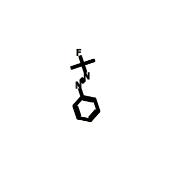 CC(C)(F)N=Nc1ccccc1